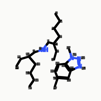 CCCCC(CC)CNCC(CC)CCCC.Cc1ccc2c(c1)nnn2C